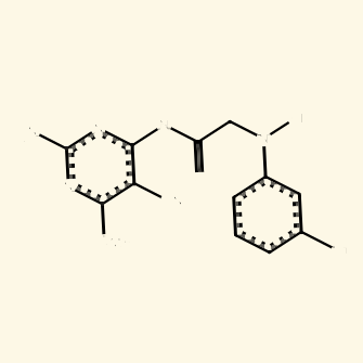 CSc1nc(N)nc(NC(=O)CN(C)c2cccc(C(C)C)c2)c1C#N